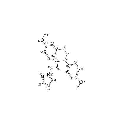 COc1ccc([C@@H]2CCc3cc(OC)ccc3[C@@H]2CCn2cncn2)cc1